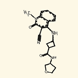 Cn1c(=O)c(C#N)c(NC2CC(C(=O)NC3CCOC3)C2)c2ccccc21